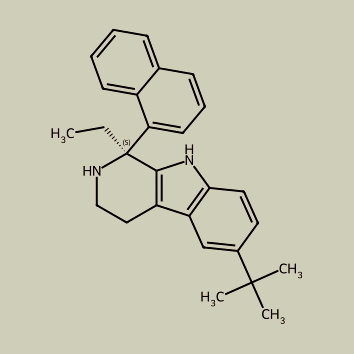 CC[C@@]1(c2cccc3ccccc23)NCCc2c1[nH]c1ccc(C(C)(C)C)cc21